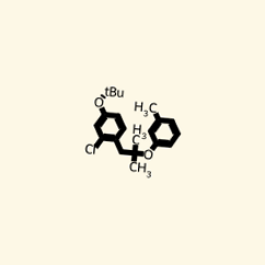 Cc1cccc(OC(C)(C)Cc2ccc(OC(C)(C)C)cc2Cl)c1